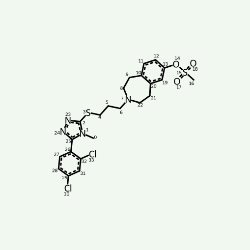 Cn1c(SCCCN2CCc3ccc(OS(C)(=O)=O)cc3CC2)nnc1-c1ccc(Cl)cc1Cl